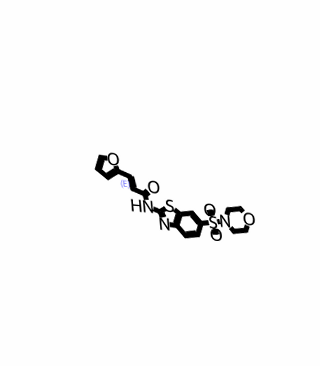 O=C(/C=C/c1ccco1)Nc1nc2ccc(S(=O)(=O)N3CCOCC3)cc2s1